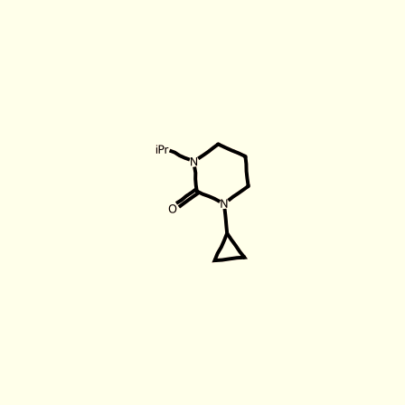 CC(C)N1CCCN(C2CC2)C1=O